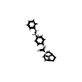 CN1C2CCC1CN(C(=O)Oc1ccc(N=Nc3ccccc3)cc1)CC2